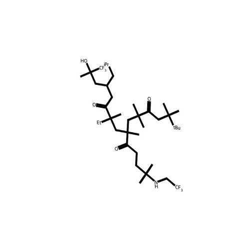 CCC(C)(CC(C)(CC(C)(C)C(=O)CC(C)(C)C(C)(C)C)C(=O)CCC(C)(C)NCC(F)(F)F)C(=O)CC(CC(C)C)CC(C)(O)C(F)(F)F